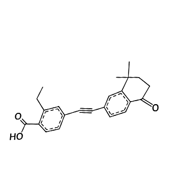 CCc1cc(C#Cc2ccc3c(c2)C(C)(C)CCC3=O)ccc1C(=O)O